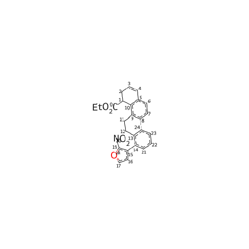 CCOC(=O)C1CC=Cc2ccc3c(c21)CCc1c(-c2ccoc2[N+](=O)[O-])cccc1-3